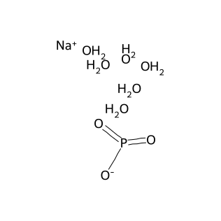 O.O.O.O.O.O.O=P(=O)[O-].[Na+]